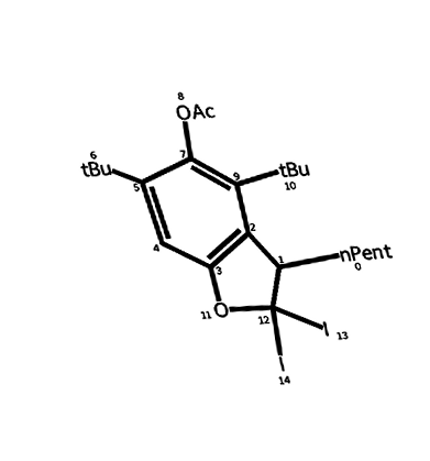 CCCCCC1c2c(cc(C(C)(C)C)c(OC(C)=O)c2C(C)(C)C)OC1(I)I